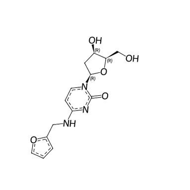 O=c1nc(NCc2ccco2)ccn1[C@H]1C[C@@H](O)[C@@H](CO)O1